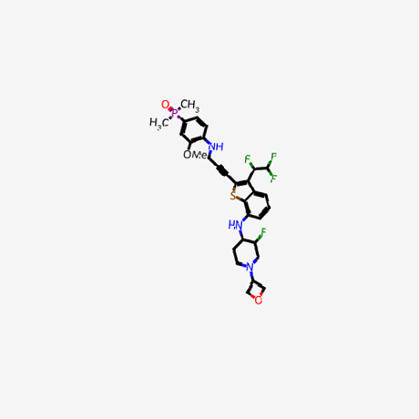 COc1cc(P(C)(C)=O)ccc1NCC#Cc1sc2c(NC3CCN(C4COC4)CC3F)cccc2c1C(F)C(F)F